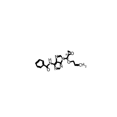 C=CCO[C@H]([C@H]1CO1)n1cnc2c(NC(=O)c3ccccc3)ncnc21